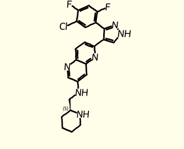 Fc1cc(F)c(-c2n[nH]cc2-c2ccc3ncc(NC[C@@H]4CCCCN4)cc3n2)cc1Cl